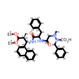 CCOC(OCC)[C@@H](C)[C@H](NC(=O)C(Cc1ccccc1)NC(=O)CN(C)N(Cc1ccccc1)C(=O)O)c1cccc2ccccc12